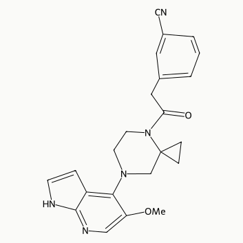 COc1cnc2[nH]ccc2c1N1CCN(C(=O)Cc2cccc(C#N)c2)C2(CC2)C1